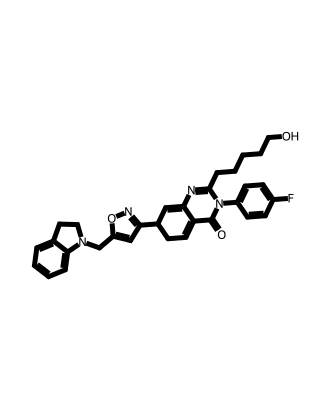 O=c1c2c(nc(CCCCCO)n1-c1ccc(F)cc1)=CC(c1cc(CN3CCc4ccccc43)on1)CC=2